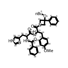 CCCCOC1(c2ccccc2)CN(C(=O)C(Cc2ccc(OC)cc2)NC(=O)C(Cc2c[nH]cn2)NC(=O)c2ccccc2)C1